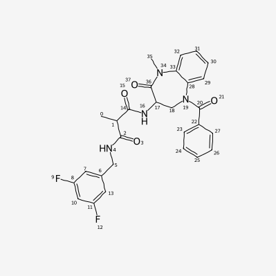 CC(C(=O)NCc1cc(F)cc(F)c1)C(=O)NC1CN(C(=O)c2ccccc2)c2ccccc2N(C)C1=O